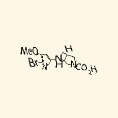 COc1cc(N2C[C@H]3CN(C(=O)O)C[C@H]32)cnc1Br